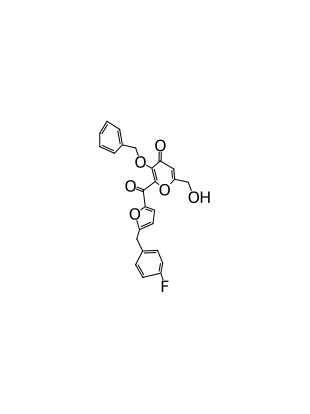 O=C(c1ccc(Cc2ccc(F)cc2)o1)c1oc(CO)cc(=O)c1OCc1ccccc1